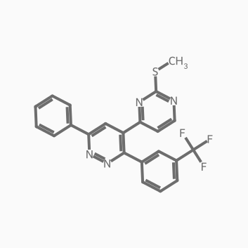 CSc1nccc(-c2cc(-c3ccccc3)nnc2-c2cccc(C(F)(F)F)c2)n1